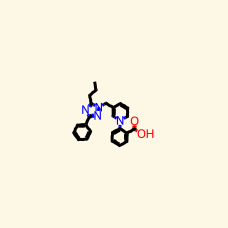 CCCc1nc(-c2ccccc2)nn1CC1=CN(c2ccccc2C(=O)O)CC=C1